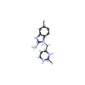 Cc1ccc2c(c1)nc(N)n2Cc1ccnc(C)n1